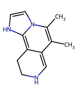 CC1=C(C)N2C=CNC2=C2CCNC=C12